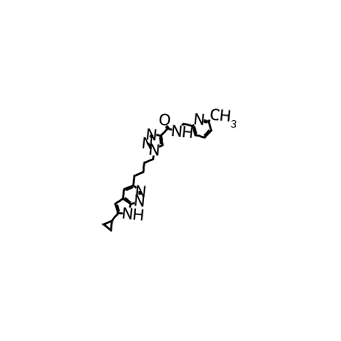 Cc1cccc(CNC(=O)c2cn(CCCCc3cc4cc(C5CC5)[nH]c4nn3)nn2)n1